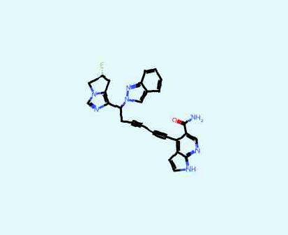 NC(=O)c1cnc2[nH]ccc2c1C#CC#CCC(c1ncn2c1C[C@@H](F)C2)n1cc2ccccc2n1